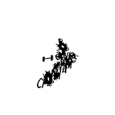 CC(C)(O)[C@H](Nc1nc(N2CCN(c3ccc(Cl)cc3)CC2)nc2c1[S+]([O-])CC2)c1ccc(F)cc1